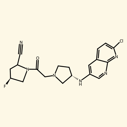 N#CC1C[C@H](F)CN1C(=O)CN1CC[C@H](Nc2cnc3nc(Cl)ccc3c2)C1